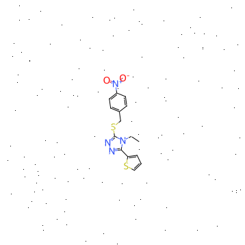 CCn1c(SCc2ccc([N+](=O)[O-])cc2)nnc1-c1cccs1